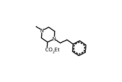 CCOC(=O)C1CN(C)CCN1CCc1ccccc1